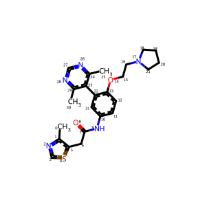 Cc1ncsc1CC(=O)Nc1ccc(OCCN2CCCC2)c(-c2c(C)ncnc2C)c1